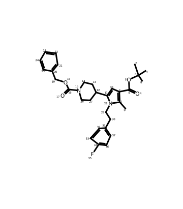 Cc1c(C(=O)OC(C)(C)C)cc(C2CCN(C(=O)OCc3ccccc3)CC2)n1CCc1ccc(F)cc1